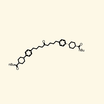 CCCCC(=O)C1CCC(c2ccc(CCCCC(=O)CCCCc3ccc([C@H]4CC[C@H](C(=O)CCCC)CC4)cc3)cc2)CC1